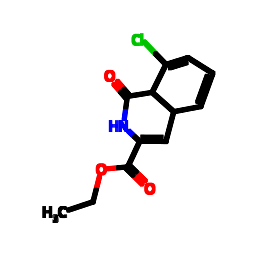 CCOC(=O)C1=CC2C=CC=C(Cl)C2C(=O)N1